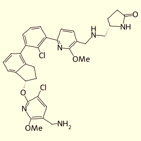 COc1nc(-c2cccc(-c3cccc4c3CC[C@@H]4Oc3nc(OC)c(CN)cc3Cl)c2Cl)ccc1CNC[C@@H]1CCC(=O)N1